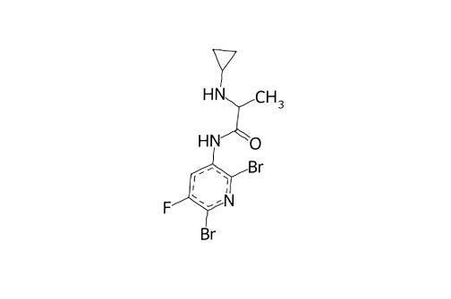 CC(NC1CC1)C(=O)Nc1cc(F)c(Br)nc1Br